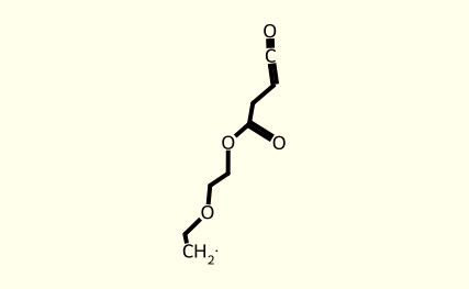 [CH2]COCCOC(=O)CC=C=O